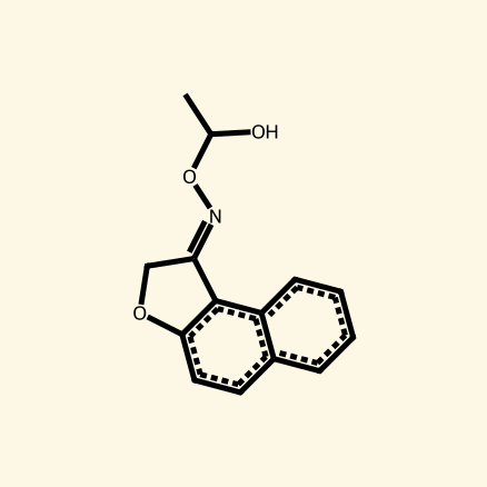 CC(O)O/N=C1\COc2ccc3ccccc3c21